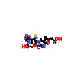 [N-]=[N+]=N[C@]1(CO)OC(n2cc3cc(CCO)oc3nc2=O)[C@@H](F)[C@@H]1O